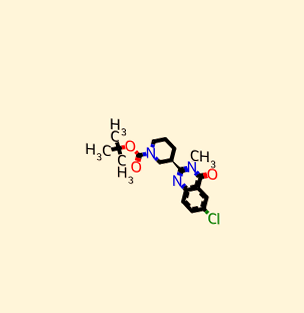 Cn1c([C@@H]2CCCN(C(=O)OC(C)(C)C)C2)nc2ccc(Cl)cc2c1=O